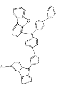 FC1=CC2c3ccccc3N(c3cccc(-c4ccc(N(c5ccc(-c6ccccc6)cc5)c5cccc6c5oc5ccccc56)cc4)c3)C2C=C1